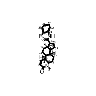 CN1C(=O)C=C[C@@]2(C)C1CC[C@@H]1[C@H]2CC[C@]2(C)C(C(=O)Nc3ccccc3F)CC[C@@H]12